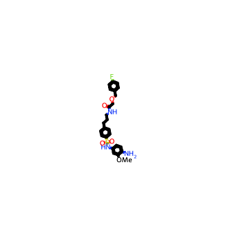 COc1cc(NS(=O)(=O)c2ccc(CCCNC(=O)COCc3ccc(F)cc3)cc2)ccc1N